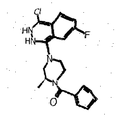 C[C@H]1CN(C2=c3cc(F)ccc3=C(Cl)NN2)CCN1C(=O)c1ccccc1